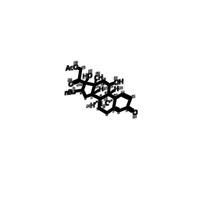 CCCCC1C[C@H]2[C@@H]3CCC4=CC(=O)C=C[C@]4(C)[C@H]3C(O)C[C@]2(C)[C@@]1(O)C(=O)COC(C)=O